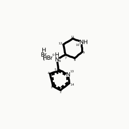 Br.Br.c1ccc(NC2CCNCC2)nc1